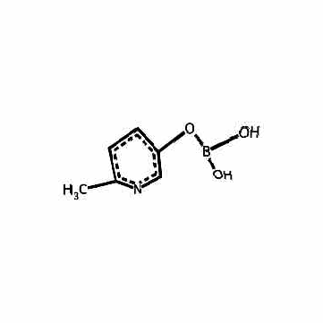 Cc1ccc(OB(O)O)cn1